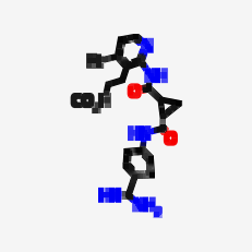 CCc1ccnc(NC(=O)C2CC2C(=O)Nc2ccc(C(=N)N)cc2)c1CCC(=O)O